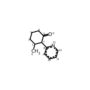 CC1CCCC(=O)C1c1ccccn1